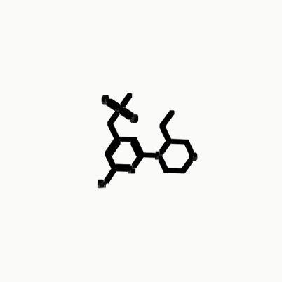 CCC1COCCN1c1cc(CS(C)(=O)=O)cc(Br)n1